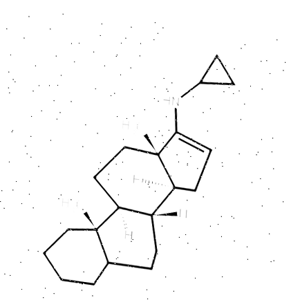 C[C@]12CCCCC1CC[C@@H]1[C@@H]2CC[C@]2(C)C(NC3CC3)=CC[C@@H]12